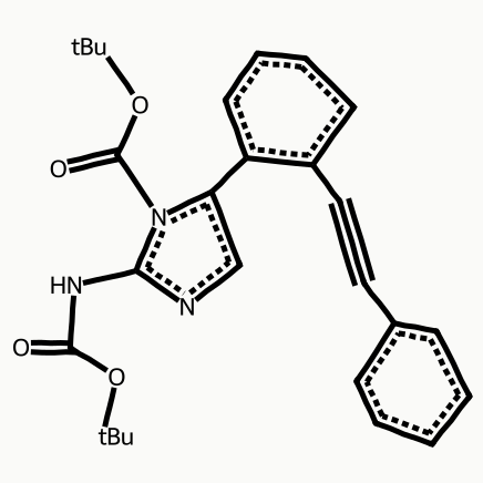 CC(C)(C)OC(=O)Nc1ncc(-c2ccccc2C#Cc2ccccc2)n1C(=O)OC(C)(C)C